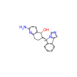 Nc1ccc2c(n1)CCC([C@@H]1c3ccccc3-c3cncn31)C2O